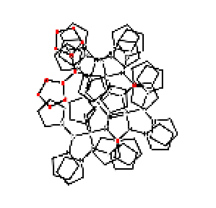 C1CCN(N(N2CCCC2)P(=N[P+](N=P(N(N2CCCC2)N2CCCC2)(N(N2CCCC2)N2CCCC2)N(N2CCCC2)N2CCCC2)(N=P(N(N2CCCC2)N2CCCC2)(N(N2CCCC2)N2CCCC2)N(N2CCCC2)N2CCCC2)N=P(N(N2CCCC2)N2CCCC2)(N(N2CCCC2)N2CCCC2)N(N2CCCC2)N2CCCC2)(N(N2CCCC2)N2CCCC2)N(N2CCCC2)N2CCCC2)C1